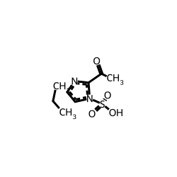 CC(=O)c1nccn1S(=O)(=O)O.CCC